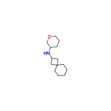 C1CCC2(CC1)CC(NC1CCCOC1)C2